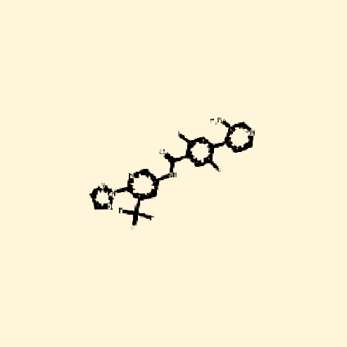 Nc1cnccc1-c1cc(I)c(C(=O)Nc2cnc(-n3nccn3)c(C(F)(F)F)c2)cc1F